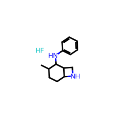 CC1CCC2NCC2C1Nc1ccccc1.F